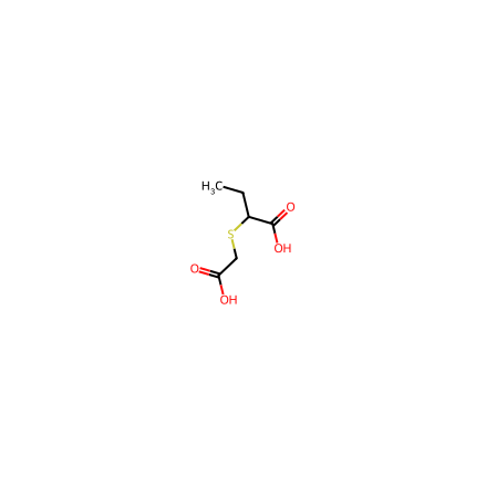 CCC(SCC(=O)O)C(=O)O